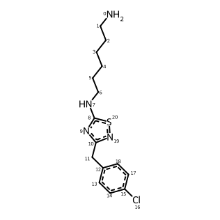 NCCCCCCNc1nc(Cc2ccc(Cl)cc2)ns1